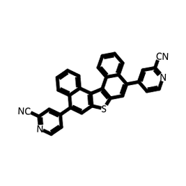 N#Cc1cc(-c2cc3sc4cc(-c5ccnc(C#N)c5)c5ccccc5c4c3c3ccccc23)ccn1